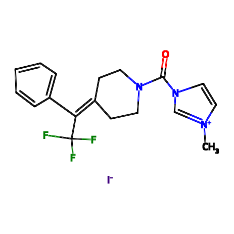 C[n+]1ccn(C(=O)N2CCC(=C(c3ccccc3)C(F)(F)F)CC2)c1.[I-]